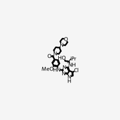 COc1cc(C(=O)N2CCC(N3CCOCC3)CC2)ccc1Nc1nc(N[C@@H](CO)C(C)C)c2c(Cl)c[nH]c2n1